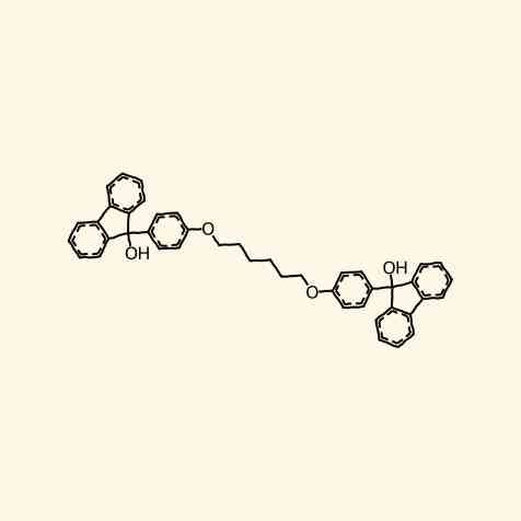 OC1(c2ccc(OCCCCCCOc3ccc(C4(O)c5ccccc5-c5ccccc54)cc3)cc2)c2ccccc2-c2ccccc21